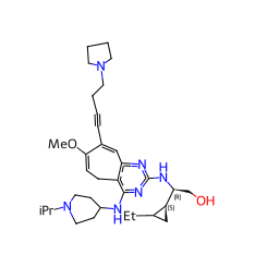 CCC1C[C@@H]1[C@H](CO)Nc1nc2c(c(NC3CCN(C(C)C)CC3)n1)CC=C(OC)C(C#CCCN1CCCC1)=C2